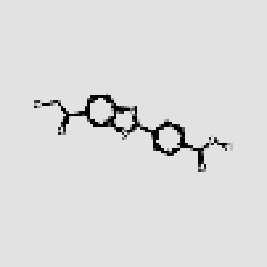 O=C(CCl)c1ccc2nc(-c3ccc(C(=O)OCl)cc3)sc2c1